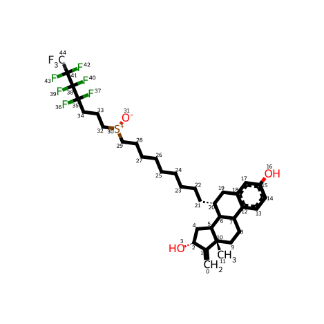 C=C1[C@H](O)CC2C3C(CC[C@]12C)c1ccc(O)cc1C[C@H]3CCCCCCCCC[S+]([O-])CCCC(F)(F)C(F)(F)C(F)(F)C(F)(F)F